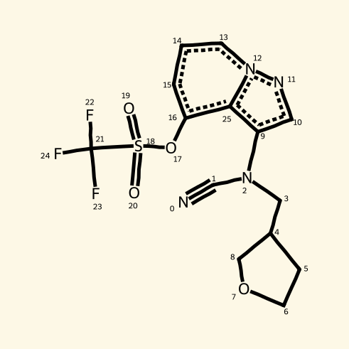 N#CN(CC1CCOC1)c1cnn2cccc(OS(=O)(=O)C(F)(F)F)c12